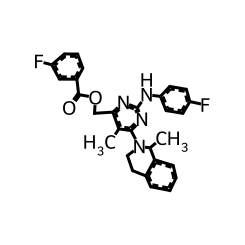 Cc1c(COC(=O)c2cccc(F)c2)nc(Nc2ccc(F)cc2)nc1N1CCc2ccccc2C1C